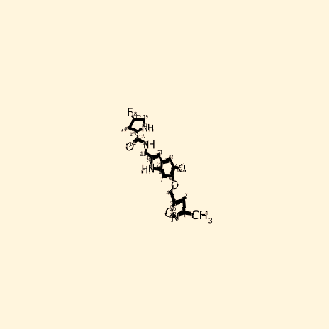 Cc1cc(COc2cc3[nH]c(CNC(=O)[C@@H]4C[C@@H](F)CN4)cc3cc2Cl)on1